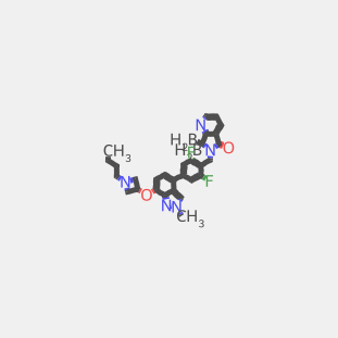 BC1(B)c2ncccc2C(=O)N1Cc1c(F)cc(-c2ccc(OC3CN(CCCC)C3)c3nn(C)cc23)cc1F